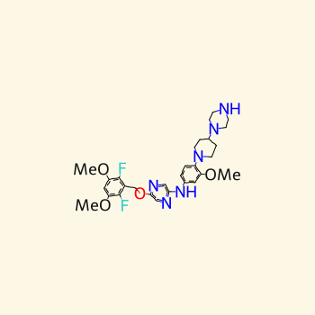 COc1cc(Nc2cnc(OCc3c(F)c(OC)cc(OC)c3F)cn2)ccc1N1CCC(N2CCNCC2)CC1